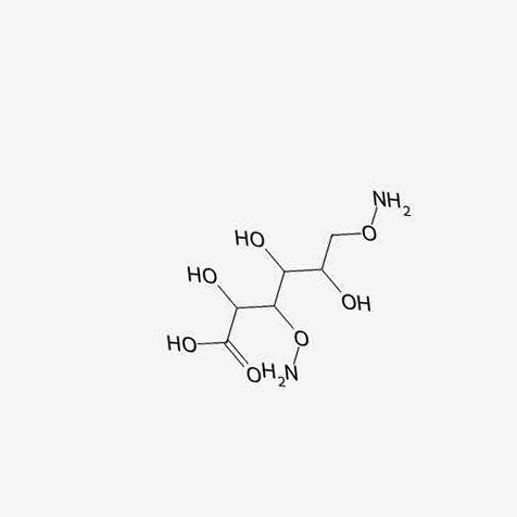 NOCC(O)C(O)C(ON)C(O)C(=O)O